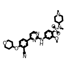 COc1cc(Nc2nccc(-c3ccc(OC4CCOCC4)c(C#N)c3)n2)ccc1S(=O)(=O)N(C)C1CCN(C)CC1